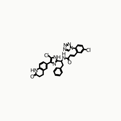 O=C(C=Cc1cc(Cl)ccc1-n1cnnn1)NC(Cc1ccccc1)c1nc(-c2ccc3c(c2)CCC(=O)N3)c(Cl)[nH]1